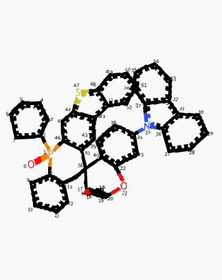 O=P1(c2ccccc2)c2ccccc2C2(c3ccccc3Oc3cc(-n4c5ccccc5c5ccccc54)ccc32)c2cc3c(cc21)sc1ccccc13